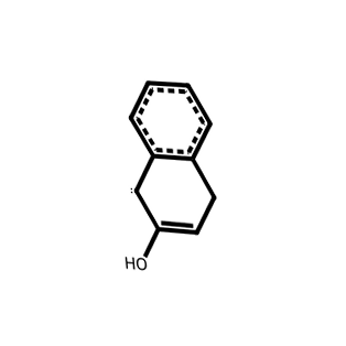 OC1=CCc2ccccc2[C]1